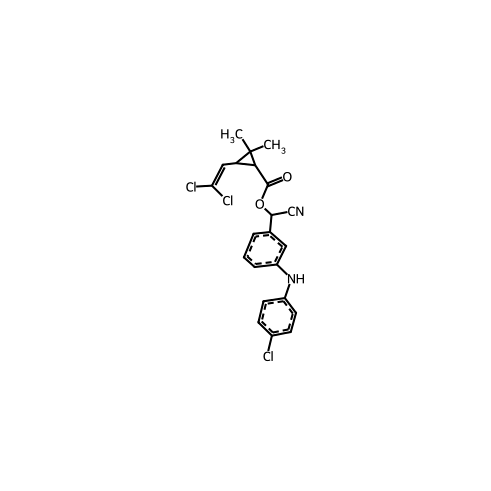 CC1(C)C(C=C(Cl)Cl)C1C(=O)OC(C#N)c1cccc(Nc2ccc(Cl)cc2)c1